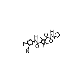 Cc1c(C(=O)Nc2ccc(F)c(C#N)c2)c(C)n(C)c1C(=O)C(=O)NC1(C)CCCC1